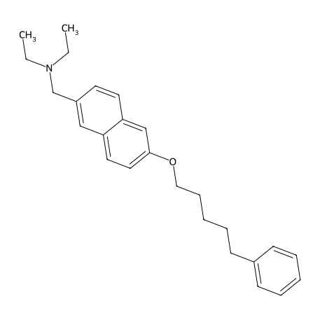 CCN(CC)Cc1ccc2cc(OCCCCCc3ccccc3)ccc2c1